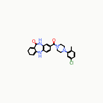 Cc1ccc(Cl)cc1N1CCN(C(=O)c2ccc3c(c2)NC(=O)C2=CCCC=C2N3)CC1